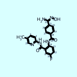 Cc1ccc(NC(=O)c2cc(F)ccc2NC(=O)c2ccc(/C(N)=N\O)cc2)nc1